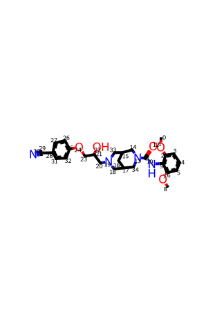 COc1cccc(OC)c1NC(=O)N1CC2CC(CN(CC(O)COc3ccc(C#N)cc3)C2)C1